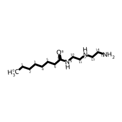 CCCCCCCC(=O)NCCNCCN